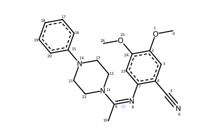 COc1cc(C#N)c(/N=C(/C)N2CCN(c3ccccc3)CC2)cc1OC